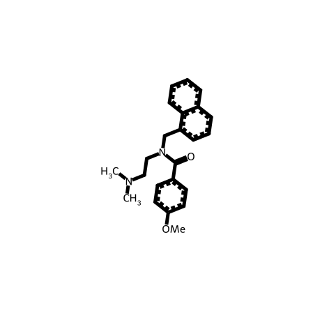 COc1ccc(C(=O)N(CCN(C)C)Cc2cccc3ccccc23)cc1